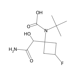 CC(C)(C)N(C(=O)O)C1(C(O)C(N)=O)CC(F)C1